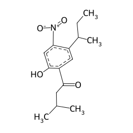 CCC(C)c1cc(C(=O)CC(C)C)c(O)cc1[N+](=O)[O-]